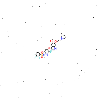 COc1cc2c(Oc3ccc(NS(=O)(=O)c4ccc(F)c(F)c4F)cc3F)ccnc2cc1OCCCN1CCCC(C)C1